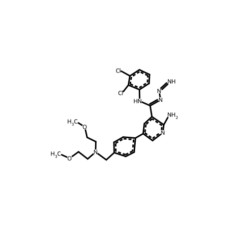 COCCN(CCOC)Cc1ccc(-c2cnc(N)c(/C(=N/N=N)Nc3cccc(Cl)c3Cl)c2)cc1